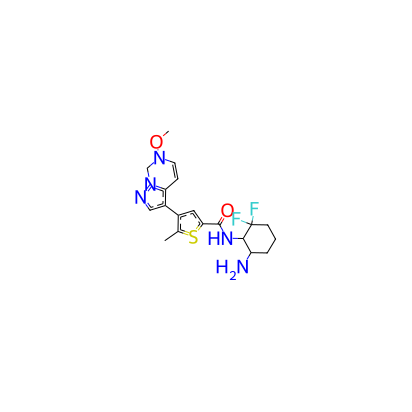 CON1C=Cc2c(-c3cc(C(=O)NC4C(N)CCCC4(F)F)sc3C)cnn2C1